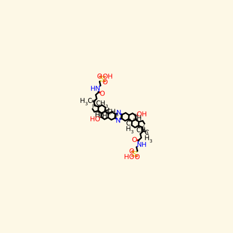 C[C@@H](CCC(=O)NCCS(=O)(=O)O)[C@H]1CC[C@H]2[C@@H]3[C@@H](O)CC4Cc5nc6c(nc5C[C@]4(C)[C@H]3CCC12C)CC1C[C@H](O)[C@H]2C(CC[C@]3(C)C2CC[C@@H]3[C@@H](C)CCC(=O)NCCS(=O)(=O)O)[C@]1(C)C6